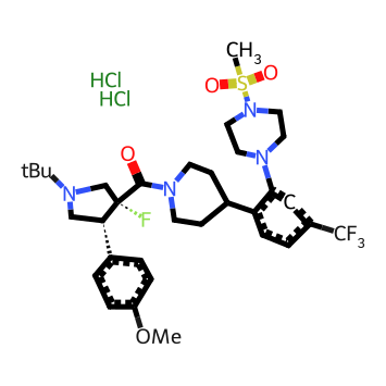 COc1ccc([C@@H]2CN(C(C)(C)C)C[C@@]2(F)C(=O)N2CCC(c3ccc(C(F)(F)F)cc3N3CCN(S(C)(=O)=O)CC3)CC2)cc1.Cl.Cl